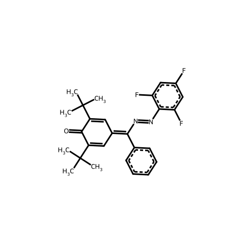 CC(C)(C)C1=CC(=C(N=Nc2c(F)cc(F)cc2F)c2ccccc2)C=C(C(C)(C)C)C1=O